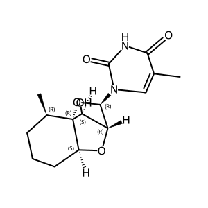 Cc1cn([C@@H]2O[C@@]34[C@H](C)CCC[C@@H]3O[C@@H]2[C@@H]4O)c(=O)[nH]c1=O